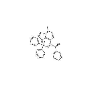 Cc1ccc([C@H](O[Si](C)(c2ccccc2)c2ccccc2)C(=O)c2ccccc2)c2[nH]ccc12